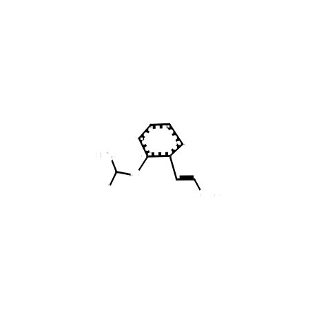 CC(N)Oc1ccccc1/C=C/[C]=O